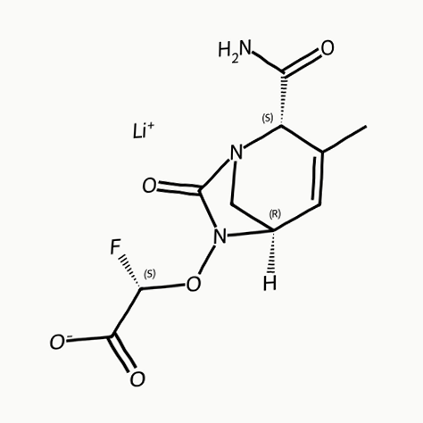 CC1=C[C@@H]2CN(C(=O)N2O[C@@H](F)C(=O)[O-])[C@@H]1C(N)=O.[Li+]